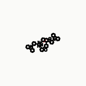 c1ccc(-c2nc(-c3cccc(-n4c5ccccc5c5ccccc54)c3)nc(-c3cccc4oc5ccc(-c6cccc7oc8c(-n9c%10ccccc%10c%10ccccc%109)cccc8c67)cc5c34)n2)cc1